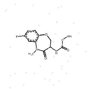 CN1C(=O)C(NC(=O)OC(C)(C)C)COc2ccc(F)cc21